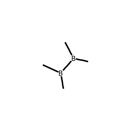 CB(C)B(C)C